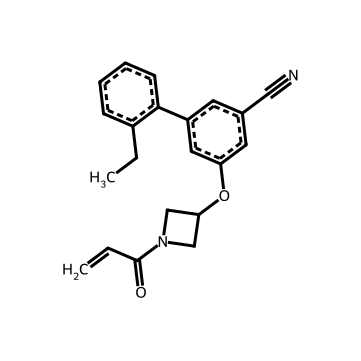 C=CC(=O)N1CC(Oc2cc(C#N)cc(-c3ccccc3CC)c2)C1